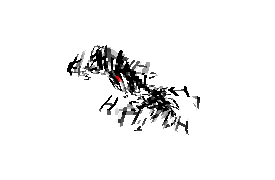 C=CCOC(=O)Nc1cc(OCCCOc2cc(N)c(C(=O)N3CC(=C)C[C@H]3CO[Si](C)(C)C(C)(C)C)cc2OC)c(OC)cc1C(=O)N1CC(=C)C[C@H]1CO